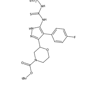 CCOC(=O)NC(=S)Nc1[nH]nc(C2CN(C(=O)OC(C)(C)C)CCO2)c1-c1ccc(F)cc1